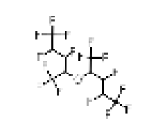 FC(C(F)C(F)(F)F)C(OC(C(F)C(F)C(F)(F)F)C(F)(F)F)C(F)(F)F